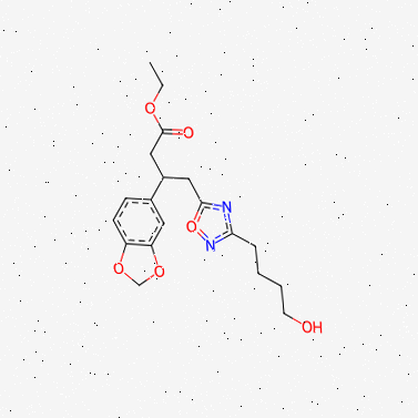 CCOC(=O)CC(Cc1nc(CCCCO)no1)c1ccc2c(c1)OCO2